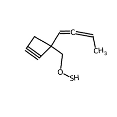 CC=C=CC1(COS)C#CC1